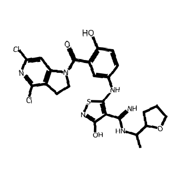 CC(NC(=N)c1c(O)nsc1Nc1ccc(O)c(C(=O)N2CCc3c2cc(Cl)nc3Cl)c1)C1CCCO1